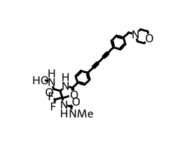 CNC(=O)NC(C)(C(F)F)C(NC(=O)c1ccc(C#CC#Cc2ccc(CN3CCOCC3)cc2)cc1)C(=O)NO